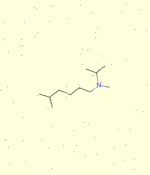 CC(C)CCCCN(C)C(C)C